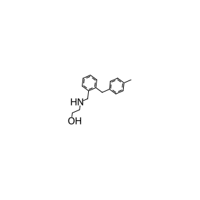 Cc1ccc(Cc2ccccc2CNCCO)cc1